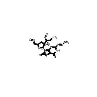 CCC(N=O)[C@]1(N)CC(CN=O)O[C@H]1n1c2c(sc1=O)C(=O)NC(N=NN)N2